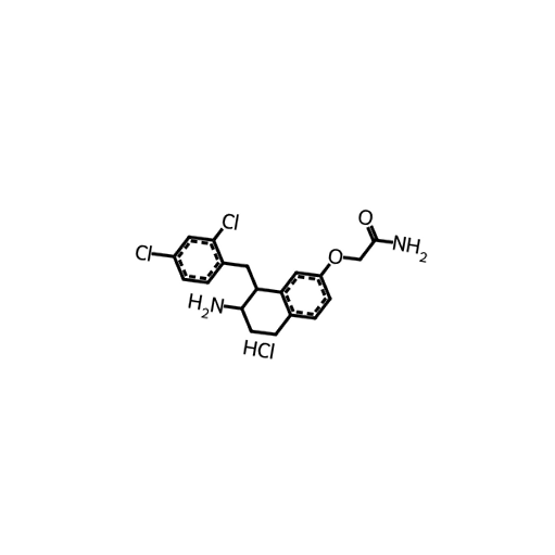 Cl.NC(=O)COc1ccc2c(c1)C(Cc1ccc(Cl)cc1Cl)C(N)CC2